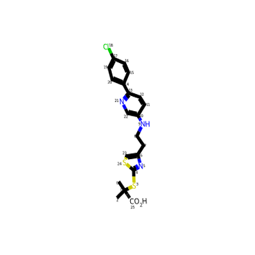 CC(C)(Sc1nc(CCNc2ccc(-c3ccc(Cl)cc3)nc2)cs1)C(=O)O